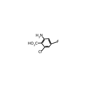 Nc1cc(F)cc(Cl)c1C(=O)O